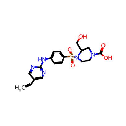 C=Cc1cnc(Nc2ccc(S(=O)(=O)N3CCN(C(=O)O)CC3CO)cc2)nc1